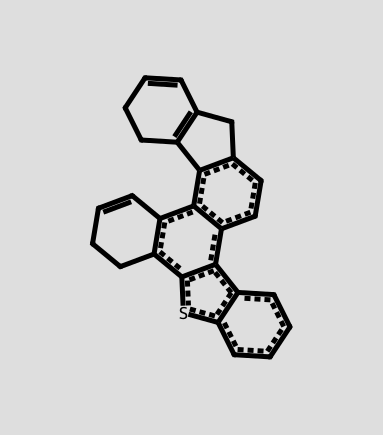 C1=CC2=C(CC1)c1c(ccc3c1c1c(c4sc5ccccc5c43)CCC=C1)C2